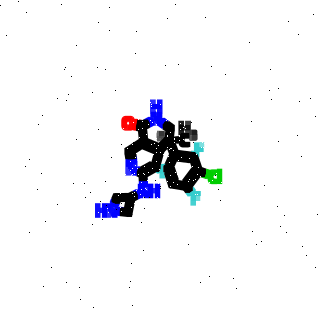 C[C@]1(c2ccc(F)c(Cl)c2F)CNC(=O)c2cnc(NC3CNC3)c(F)c21